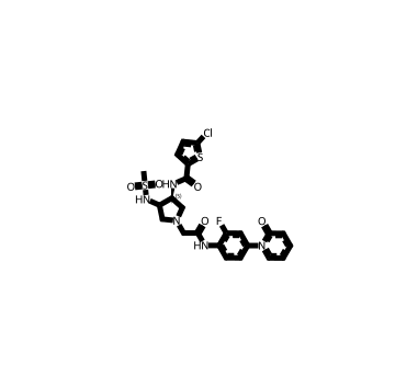 CS(=O)(=O)NC1CN(CC(=O)Nc2ccc(-n3ccccc3=O)cc2F)C[C@@H]1NC(=O)c1ccc(Cl)s1